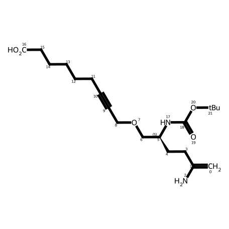 C=C(N)CC[C@@H](COCC#CCCCCCC(=O)O)NC(=O)OC(C)(C)C